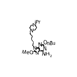 CCCCOc1nc(N)c2nc(OC)n(CCCCCN3CCN(C(C)C)CC3)c2n1